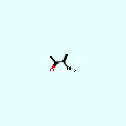 BC(=C)C(C)=O